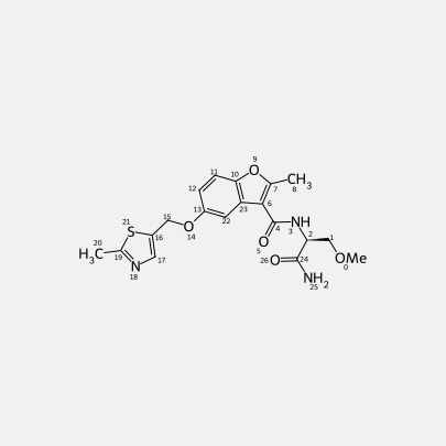 COC[C@H](NC(=O)c1c(C)oc2ccc(OCc3cnc(C)s3)cc12)C(N)=O